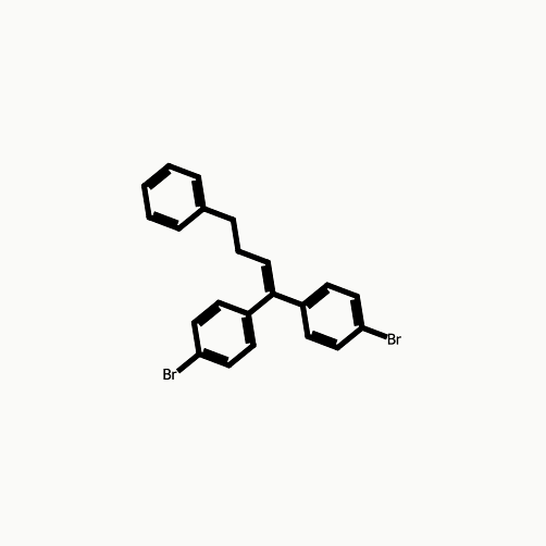 Brc1ccc(C(=CCCc2ccccc2)c2ccc(Br)cc2)cc1